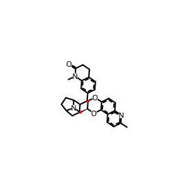 Cc1ccc2c3c(ccc2n1)OC[C@H](CN1C2CCC(Cc4ccc5c(c4)N(C)C(=O)CC5)C1CC2)O3